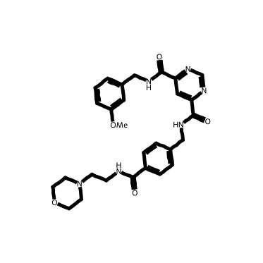 COc1cccc(CNC(=O)c2cc(C(=O)NCc3ccc(C(=O)NCCN4CCOCC4)cc3)ncn2)c1